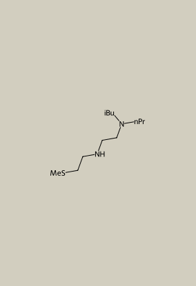 CCCN(CCNCCSC)C(C)CC